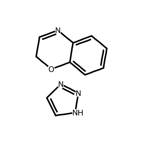 C1=Nc2ccccc2OC1.c1c[nH]nn1